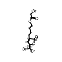 O=C(CBr)OCCCCC1=CC(=C(Br)Br)OC1=O